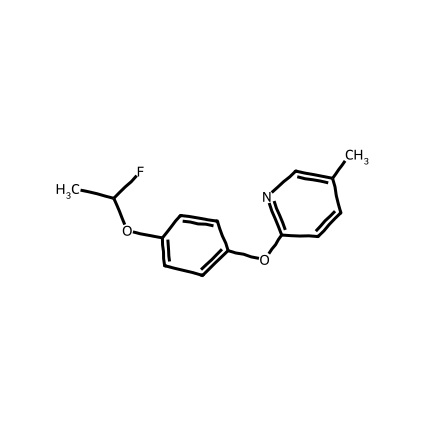 Cc1ccc(Oc2ccc(OC(C)F)cc2)nc1